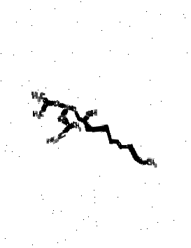 CCCCCCCCC(S)CO[SiH](OC(C)C)OC(C)C